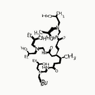 CCC(C)CN(CNC(=O)CC[C@H](C)[C@H](CCC(=O)NCN(CC(C)O)CC(C)O)CC(=O)NCN(CC(O)CC)CC(O)CC)CC(O)CC